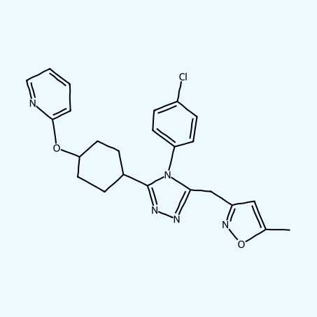 Cc1cc(Cc2nnc(C3CCC(Oc4ccccn4)CC3)n2-c2ccc(Cl)cc2)no1